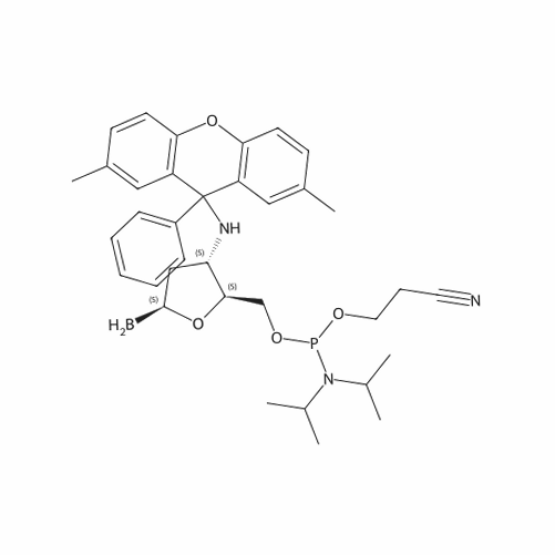 B[C@H]1C[C@H](NC2(c3ccccc3)c3cc(C)ccc3Oc3ccc(C)cc32)[C@@H](COP(OCCC#N)N(C(C)C)C(C)C)O1